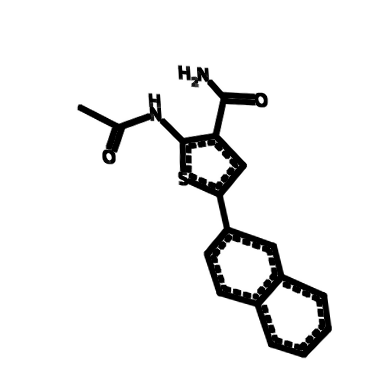 CC(=O)Nc1sc(-c2ccc3ccccc3c2)cc1C(N)=O